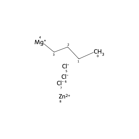 CCC[CH2][Mg+].[Cl-].[Cl-].[Cl-].[Zn+2]